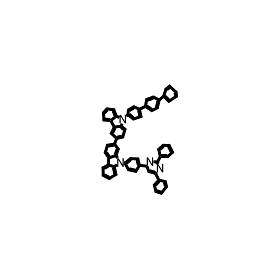 c1ccc(-c2ccc(-c3ccc(-n4c5ccccc5c5cc(-c6ccc7c8ccccc8n(-c8ccc(-c9cc(-c%10ccccc%10)nc(-c%10ccccc%10)n9)cc8)c7c6)ccc54)cc3)cc2)cc1